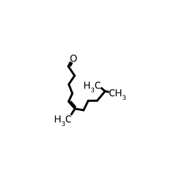 CC(=CCCCC=O)CCCC(C)C